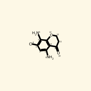 Nc1cc(Cl)c(N)c2c1C(=O)CCO2